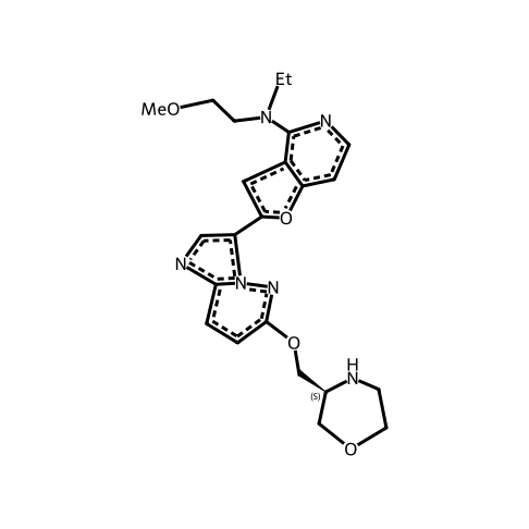 CCN(CCOC)c1nccc2oc(-c3cnc4ccc(OC[C@@H]5COCCN5)nn34)cc12